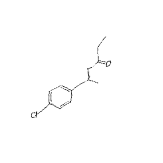 CCC(=O)CC(C)c1ccc(Cl)cc1